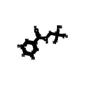 O=C(OCC(F)(F)F)c1cncnc1